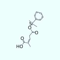 CC(=CCC(=O)O[Si](C)(C)c1ccccc1)C(=O)O